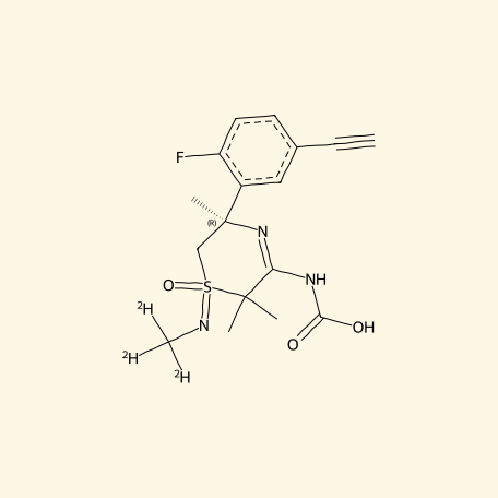 [2H]C([2H])([2H])N=S1(=O)C[C@@](C)(c2cc(C#C)ccc2F)N=C(NC(=O)O)C1(C)C